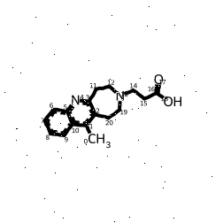 Cc1c2c(nc3ccccc13)CCN(CCC(=O)O)CC2